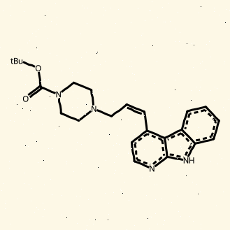 CC(C)(C)OC(=O)N1CCN(C/C=C\c2ccnc3[nH]c4ccccc4c23)CC1